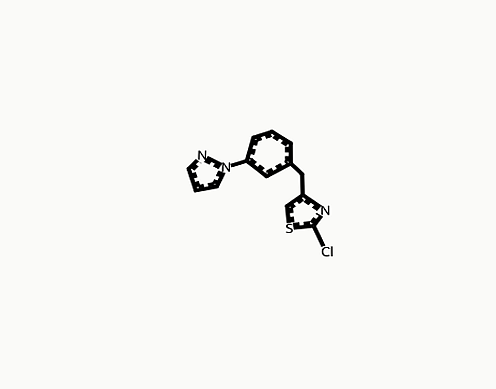 Clc1nc(Cc2cccc(-n3cccn3)c2)cs1